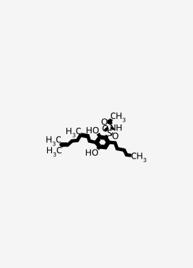 CCCCCc1cc(O)c(CC=C(C)CCC=C(C)C)c(O)c1S(=O)(=O)NC(C)=O